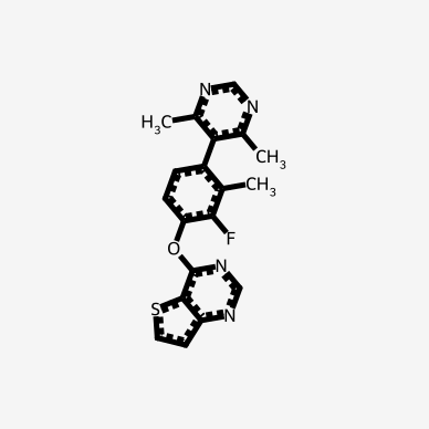 Cc1ncnc(C)c1-c1ccc(Oc2ncnc3ccsc23)c(F)c1C